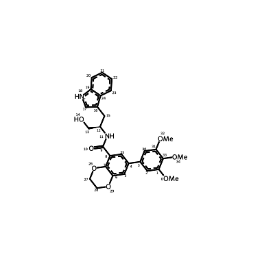 COc1cc(-c2cc3c(c(C(=O)N[C@@H](CO)Cc4c[nH]c5ccccc45)c2)OCCO3)cc(OC)c1OC